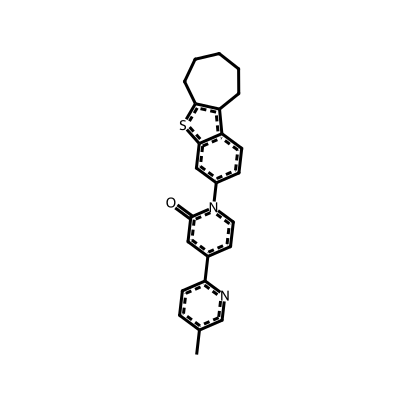 Cc1ccc(-c2ccn(-c3ccc4c5c(sc4c3)CCCCC5)c(=O)c2)nc1